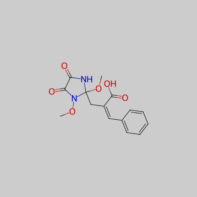 CON1C(=O)C(=O)NC1(CC(=Cc1ccccc1)C(=O)O)OC